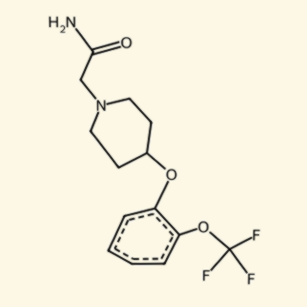 NC(=O)CN1CCC(Oc2ccccc2OC(F)(F)F)CC1